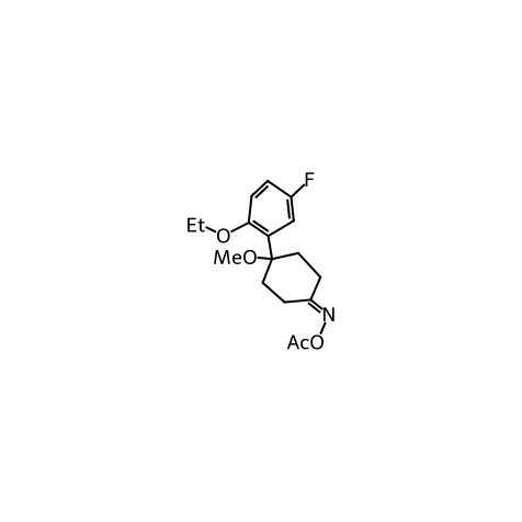 CCOc1ccc(F)cc1C1(OC)CCC(=NOC(C)=O)CC1